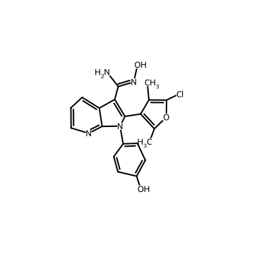 Cc1oc(Cl)c(C)c1-c1c(/C(N)=N/O)c2cccnc2n1-c1ccc(O)cc1